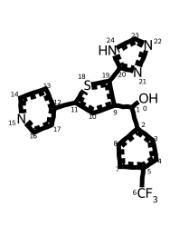 OC(c1ccc(C(F)(F)F)cc1)c1cc(-c2ccncc2)sc1-c1nnc[nH]1